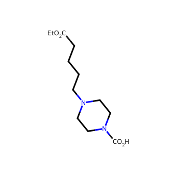 CCOC(=O)CCCCN1CCN(C(=O)O)CC1